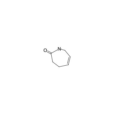 O=C1CCC=CC[N]1